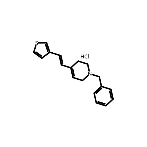 C(=Cc1ccsc1)C1=CCN(Cc2ccccc2)CC1.Cl